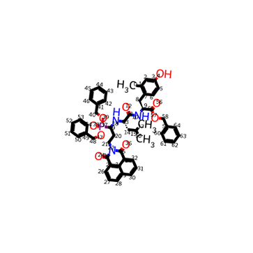 Cc1cc(O)ccc1C[C@H](NC(=O)[C@H](CC(C)C)NC(CCN1C(=O)c2cccc3cccc(c23)C1=O)P(=O)(OCc1ccccc1)OCc1ccccc1)C(=O)OCc1ccccc1